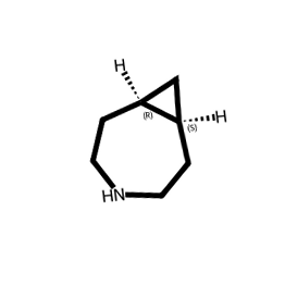 C1C[C@@H]2C[C@@H]2CCN1